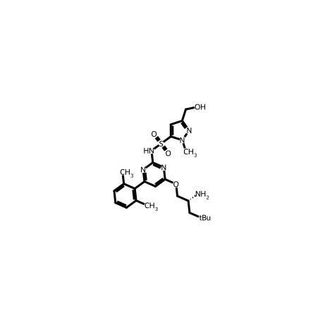 Cc1cccc(C)c1-c1cc(OC[C@H](N)CC(C)(C)C)nc(NS(=O)(=O)c2cc(CO)nn2C)n1